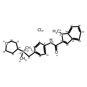 Cn1c(C(=O)Nc2ccc(C[N+](C)(C)C3CCOCC3)cc2)cc2ccccc21.[Cl-]